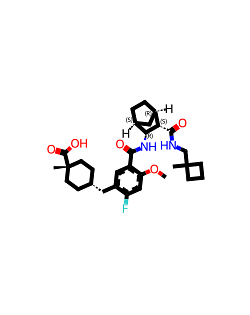 COc1cc(F)c(C[C@H]2CC[C@@](C)(C(=O)O)CC2)cc1C(=O)N[C@@H]1[C@H]2CC[C@H](C2)[C@@H]1C(=O)NCC1(C)CCC1